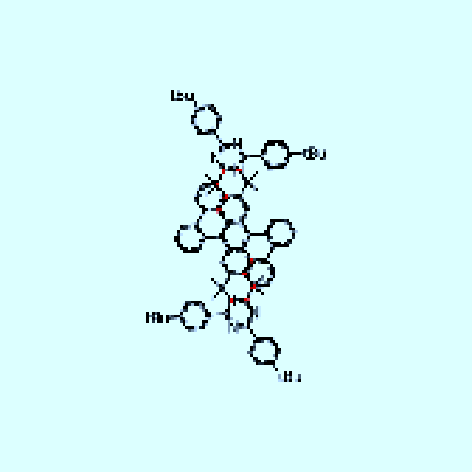 CC(C)(C)c1ccc(-c2nc(-c3ccc(-c4ccccc4-c4c5cc6c(cc5c(-c5ccccc5-c5ccc(-c7nc(-c8ccc(C(C)(C)C)cc8)nc(-c8ccc(C(C)(C)C)cc8)n7)cc5)c5cc7c(cc45)C(C)(C)CCC7(C)C)C(C)(C)CCC6(C)C)cc3)nc(-c3ccc(C(C)(C)C)cc3)n2)cc1